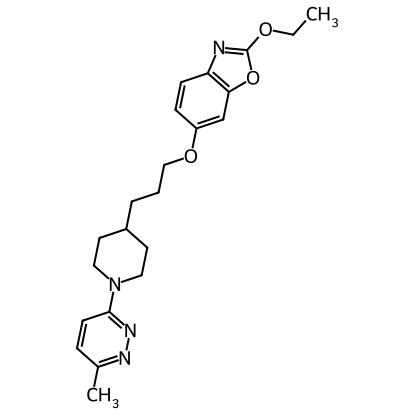 CCOc1nc2ccc(OCCCC3CCN(c4ccc(C)nn4)CC3)cc2o1